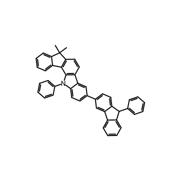 CC1(C)c2ccccc2-c2c1ccc1c3cc(-c4ccc5c(c4)-c4ccccc4C5c4ccccc4)ccc3n(-c3ccccc3)c21